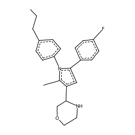 CCCc1ccc(-n2c(-c3ccc(F)cc3)cc(C3COCCN3)c2C)cc1